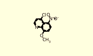 COc1ccc([N+](=O)[O-])c2c(Cl)ccnc12